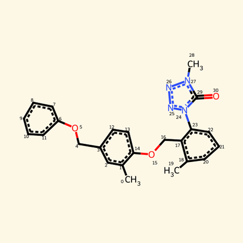 Cc1cc(COc2ccccc2)ccc1OCc1c(C)cccc1-n1nnn(C)c1=O